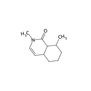 CC1CCCC2C=CN(C)C(=O)C12